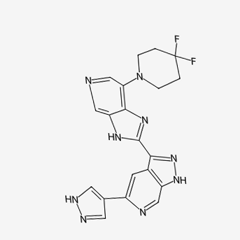 FC1(F)CCN(c2cncc3[nH]c(-c4n[nH]c5cnc(-c6cn[nH]c6)cc45)nc23)CC1